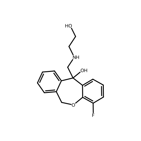 OCCNCC1(O)c2ccccc2COc2c(F)cccc21